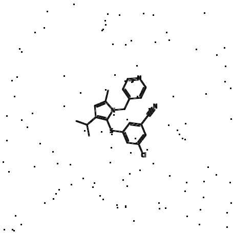 Cc1cc(C(C)C)c(Sc2cc(Cl)cc(C#N)c2)n1Cc1ccncc1